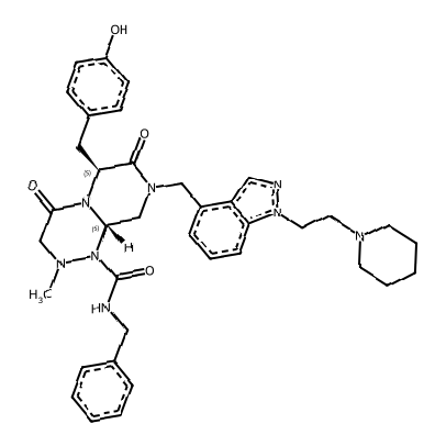 CN1CC(=O)N2[C@@H](Cc3ccc(O)cc3)C(=O)N(Cc3cccc4c3cnn4CCN3CCCCC3)C[C@@H]2N1C(=O)NCc1ccccc1